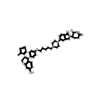 Cc1ccccc1[C@H]1COc2cc(O)ccc2[C@H]1c1ccc(OCCCCCN2CCN(c3ccc4c(c3)CN(C3CCC(=O)NC3=O)C4=O)CC2)cc1